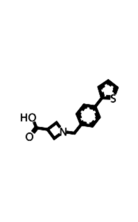 O=C(O)C1CN(Cc2ccc(-c3cccs3)cc2)C1